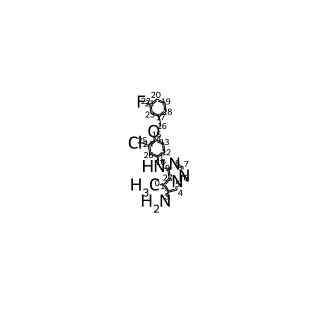 Cc1c(N)cn2ncnc(Nc3ccc(OCc4cccc(F)c4)c(Cl)c3)c12